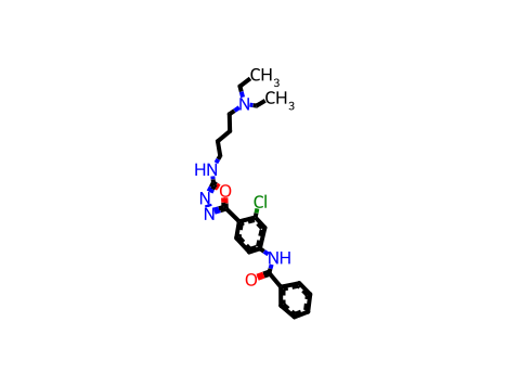 CCN(CC)CCCCNc1nnc(-c2ccc(NC(=O)c3ccccc3)cc2Cl)o1